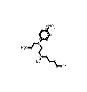 C=CCN(CCN(CC)CCCCC(C)C)c1ccc([N+](=O)[O-])cc1